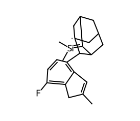 CC1=Cc2c(C3[C]4CC5CC(C4)C(=[Si](C)C)C3C5)ccc(F)c2C1